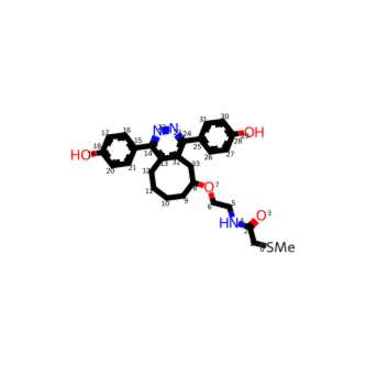 CSCC(=O)NCCOC1CCCCc2c(-c3ccc(O)cc3)nnc(-c3ccc(O)cc3)c2C1